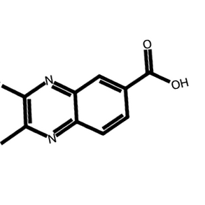 Cc1nc2ccc(C(=O)O)cc2nc1Br